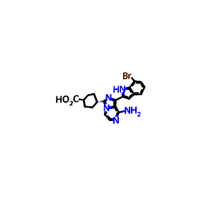 Nc1nccn2c1c(-c1cc3cccc(Br)c3[nH]1)nc2[C@H]1CC[C@H](C(=O)O)CC1